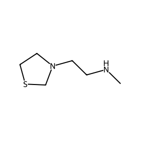 CNCCN1CCSC1